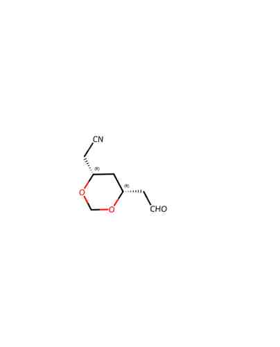 N#CC[C@@H]1C[C@H](CC=O)OCO1